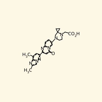 Cc1cn2nc(-c3cc(=O)n4cc(N5CCN(CC(=O)O)C6(CC6)C5)ccc4n3)cc(C)c2n1